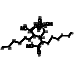 CCCCCCC(C(=O)O)N(CP(=O)(O)O)C(CCCCCC)C(=O)O